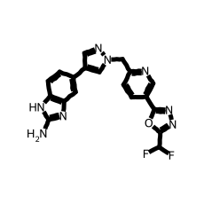 Nc1nc2cc(-c3cnn(Cc4ccc(-c5nnc(C(F)F)o5)cn4)c3)ccc2[nH]1